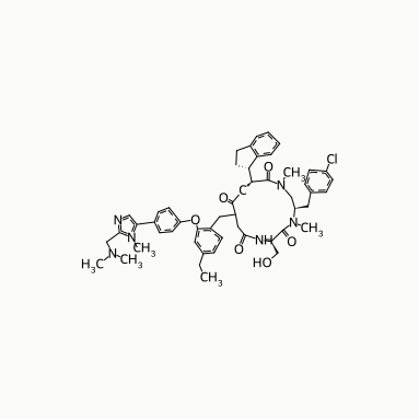 CCc1ccc(CC2CC(=O)N[C@H](CO)C(=O)N(C)[C@H](Cc3ccc(Cl)cc3)CN(C)C(=O)[C@H]([C@@H]3CCc4ccccc43)CC2=O)c(Oc2ccc(-c3cnc(CN(C)C)n3C)cc2)c1